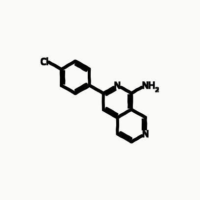 Nc1nc(-c2ccc(Cl)cc2)cc2ccncc12